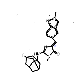 CN1C(=O)/C(=C/c2ccc3nn(C)cc3c2)N=C1NC12CC3CC(CC(F)(C3)C1)C2